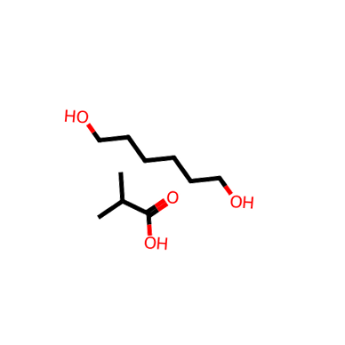 CC(C)C(=O)O.OCCCCCCO